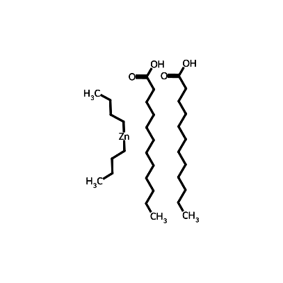 CCCCCCCCCCCC(=O)O.CCCCCCCCCCCC(=O)O.CCC[CH2][Zn][CH2]CCC